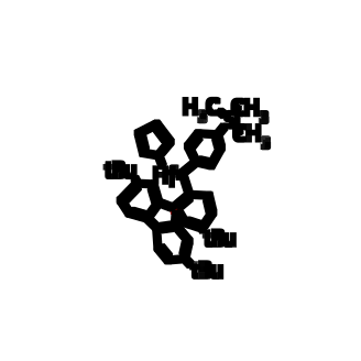 CC(C)(C)c1ccc([C](c2ccc([Si](C)(C)C)cc2)=[Hf]([c]2c(C(C)(C)C)ccc3c2Cc2cc(C(C)(C)C)ccc2-3)[CH]2C=CC=C2)cc1